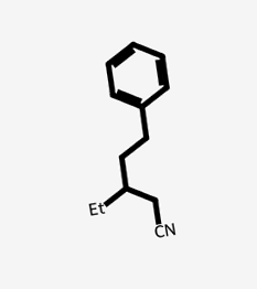 CCC(CC#N)CCc1ccccc1